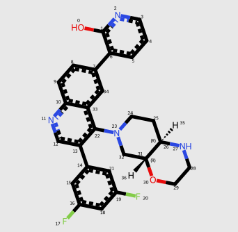 Oc1ncccc1-c1ccc2ncc(-c3cc(F)cc(F)c3)c(N3CC[C@H]4NCCO[C@@H]4C3)c2c1